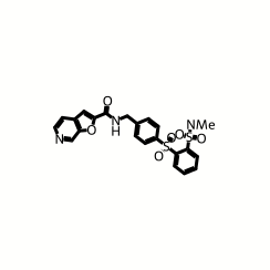 CNS(=O)(=O)c1ccccc1S(=O)(=O)c1ccc(CNC(=O)c2cc3ccncc3o2)cc1